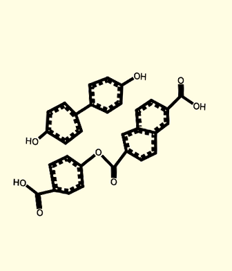 O=C(O)c1ccc(OC(=O)c2ccc3cc(C(=O)O)ccc3c2)cc1.Oc1ccc(-c2ccc(O)cc2)cc1